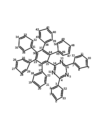 c1ccc(-c2nc(-c3ccccc3)nc(-c3c(-c4ccccc4)c(-c4ccccc4)c(-c4ccccc4)c(-c4ccccc4)c3-c3ccccc3)n2)cc1